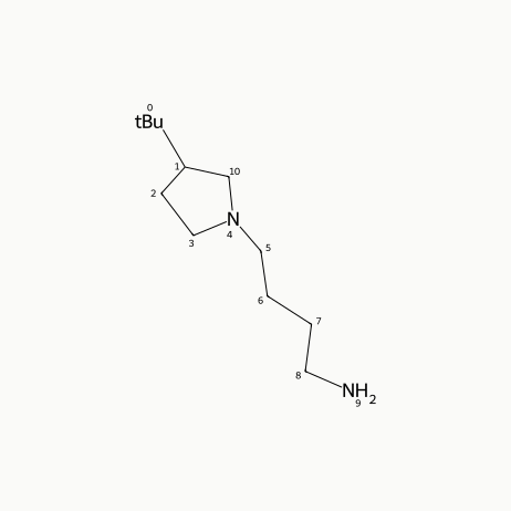 CC(C)(C)C1CCN(CCCCN)C1